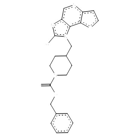 CCCCc1nc2cnc3ccsc3c2n1CC1CCN(C(=O)OCc2ccccc2)CC1